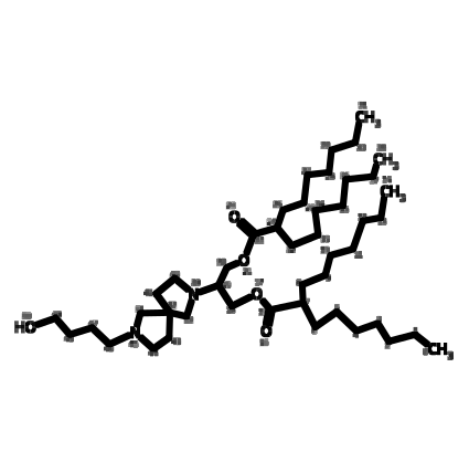 CCCCCCCC(CCCCCCC)C(=O)OCC(COC(=O)C(CCCCCCC)CCCCCCC)N1CCC2(CCN(CCCCO)C2)C1